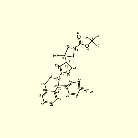 CC(C)(C)OC(=O)N1CC(F)([C@@H]2COC(N3CCc4ccccc4[C@@H]3c3ccc(F)cc3)=N2)C1